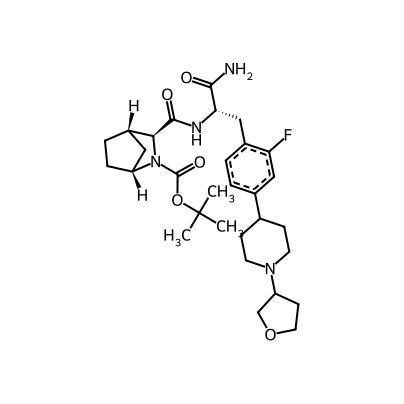 CC(C)(C)OC(=O)N1[C@@H]2CC[C@@H](C2)[C@H]1C(=O)N[C@@H](Cc1ccc(C2CCN(C3CCOC3)CC2)cc1F)C(N)=O